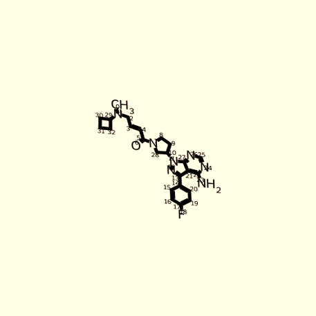 CN(CC=CC(=O)N1CCC(n2nc(-c3ccc(F)cc3)c3c(N)ncnc32)C1)C1CCC1